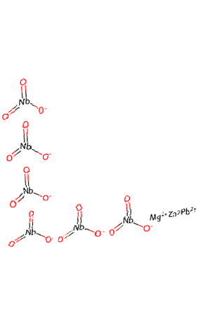 [Mg+2].[O]=[Nb](=[O])[O-].[O]=[Nb](=[O])[O-].[O]=[Nb](=[O])[O-].[O]=[Nb](=[O])[O-].[O]=[Nb](=[O])[O-].[O]=[Nb](=[O])[O-].[Pb+2].[Zn+2]